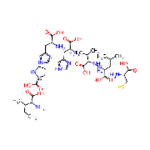 CC(C)C(N)C(=O)O.CC(C)CC(N)C(=O)O.CCC(C)C(N)C(=O)O.NC(CS)C(=O)O.NC(Cc1c[nH]cn1)C(=O)O.NC(Cc1c[nH]cn1)C(=O)O.O=C(O)[C@@H]1CCCN1